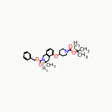 CC(C)(C)OC(=O)N1CCC(Oc2cccc3c2CC(C)(C)N(C(=O)OCc2ccccc2)C3)CC1